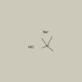 C[N+](C)(C)C.Cl.[Na+]